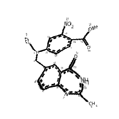 CCN(Cc1ccc2nc(C)[nH]c(=O)c2c1)c1ccc(C(=O)OC)c([N+](=O)[O-])c1